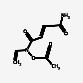 C=CN(OC(C)=O)C(=O)C=CC(N)=O